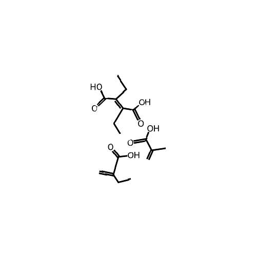 C=C(C)C(=O)O.C=C(CC)C(=O)O.CCC(C(=O)O)=C(CC)C(=O)O